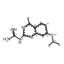 Cc1nc(NC(=N)N)nc2cc(OC(C)C)ccc12